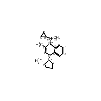 CC1=C[C@@H](N2CCC[C@@H]2C)c2ccccc2N1N(C)C1CC1